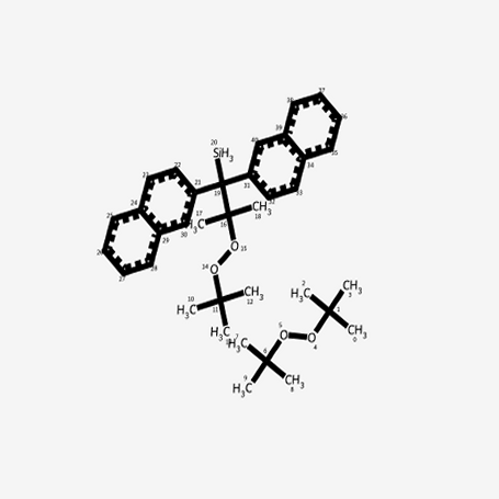 CC(C)(C)OOC(C)(C)C.CC(C)(C)OOC(C)(C)C([SiH3])(c1ccc2ccccc2c1)c1ccc2ccccc2c1